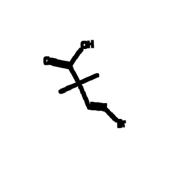 CC(C)(C=CBr)C(=O)O